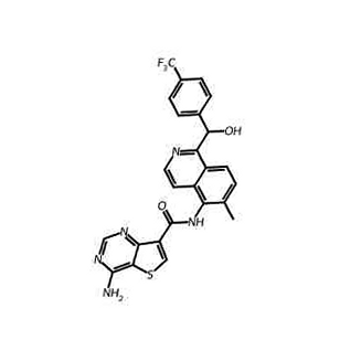 Cc1ccc2c(C(O)c3ccc(C(F)(F)F)cc3)nccc2c1NC(=O)c1csc2c(N)ncnc12